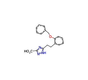 O=C(O)c1n[nH]c(CCc2ccccc2OCc2ccccc2)n1